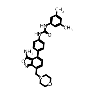 Cc1cc(C)cc(NC(=O)Nc2ccc(-c3ccc(CN4CCOCC4)c4noc(N)c34)cc2)c1